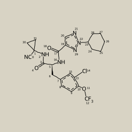 N#CC1(NC(=O)[C@H](Cc2ccc(OC(F)(F)F)c(Cl)c2)NC(=O)c2cnn(C3CCCCC3)n2)CC1